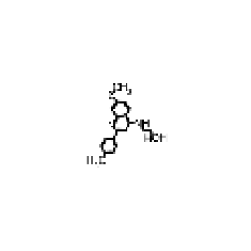 COc1ccc2c(NCCO)cc(-c3ccc(C)cc3)nc2c1.Cl